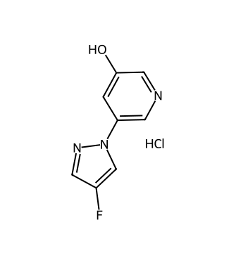 Cl.Oc1cncc(-n2cc(F)cn2)c1